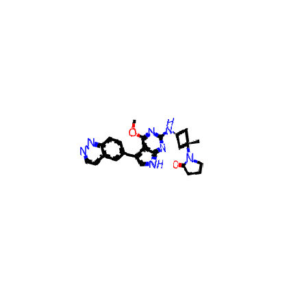 COc1nc(N[C@H]2C[C@@](C)(N3CCCC3=O)C2)nc2[nH]cc(-c3ccc4nnccc4c3)c12